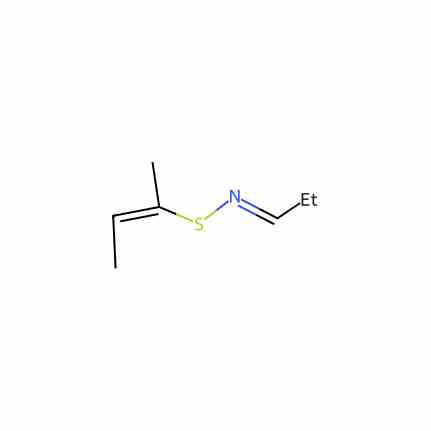 C/C=C(/C)S/N=C/CC